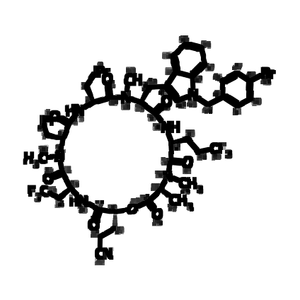 CC(C)C[C@@H]1NC(=O)[C@H](CC(C)C)N(C)C(=O)[C@H](CC(F)(F)F)NC(=O)[C@@H](CCC#N)OC(=O)[C@H](C)N(C)C(=O)[C@H](CCC(F)(F)F)NC(=O)[C@H](Cc2cn(Cc3ccc(Br)cc3)c3ccccc23)N(C)C1=O